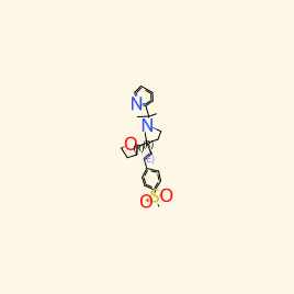 CC(C)(c1ccccn1)N1CC[C@](/C=C/c2ccc(S(C)(=O)=O)cc2)([C@H]2CCCO2)C1